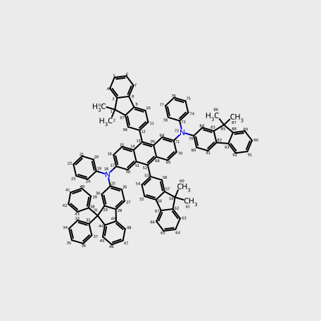 CC1(C)c2ccccc2-c2ccc(-c3c4ccc(N(c5ccccc5)c5ccc6c(c5)C(c5ccccc5)(c5ccccc5)c5ccccc5-6)cc4c(-c4ccc5c(c4)C(C)(C)c4ccccc4-5)c4ccc(N(c5ccccc5)c5ccc6c(c5)C(C)(C)c5ccccc5-6)cc34)cc21